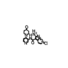 Nc1nn2c(c1C(=O)Nc1cnccc1N1CCC(=O)CC1)C=CN(Cl)C2